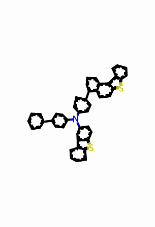 c1ccc(-c2ccc(N(c3ccc(-c4cccc5c4ccc4sc6ccccc6c45)cc3)c3ccc4sc5ccccc5c4c3)cc2)cc1